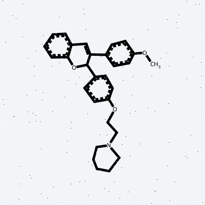 COc1ccc(C2=Cc3ccccc3OC2c2ccc(OCCN3CCCCC3)cc2)cc1